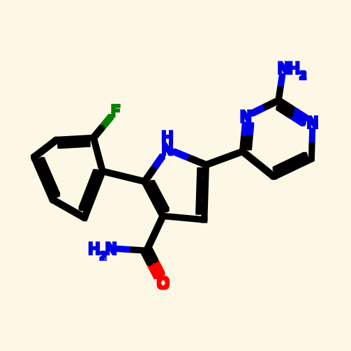 NC(=O)c1cc(-c2ccnc(N)n2)[nH]c1-c1ccccc1F